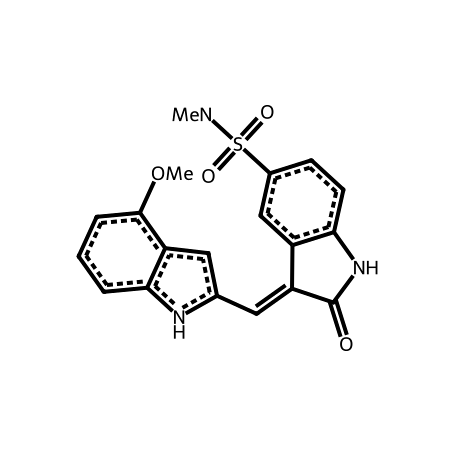 CNS(=O)(=O)c1ccc2c(c1)/C(=C\c1cc3c(OC)cccc3[nH]1)C(=O)N2